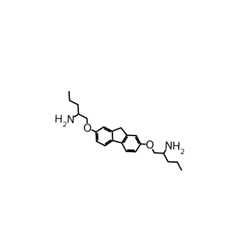 CCCC(N)COc1ccc2c(c1)Cc1cc(OCC(N)CCC)ccc1-2